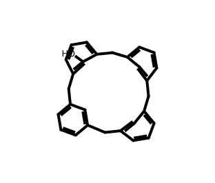 Oc1c2cccc1Cc1cccc(c1)Cc1cccc(c1)Cc1cccc(c1)C2